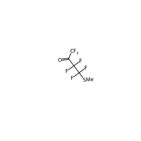 CSC(F)(F)C(F)(F)C(=O)C(F)(F)F